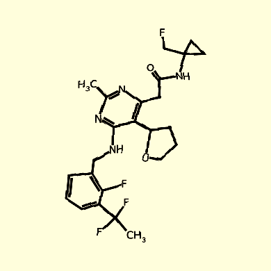 Cc1nc(CC(=O)NC2(CF)CC2)c(C2CCCO2)c(NCc2cccc(C(C)(F)F)c2F)n1